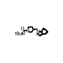 CC(C)(C)OC(=O)N1CCC(Cn2ncc3ccccc32)CC1